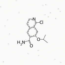 CC(C)Oc1cc2c(Cl)nccc2cc1C(N)=O